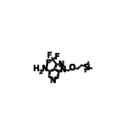 C[Si](C)(C)CCOCn1nc(C(F)(F)F)c2c(N)cncc21